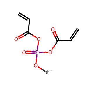 C=CC(=O)OP(=O)(OC(=O)C=C)OC(C)C